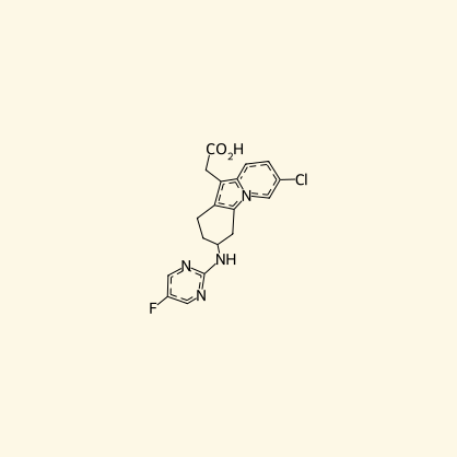 O=C(O)Cc1c2c(n3cc(Cl)ccc13)CC(Nc1ncc(F)cn1)CC2